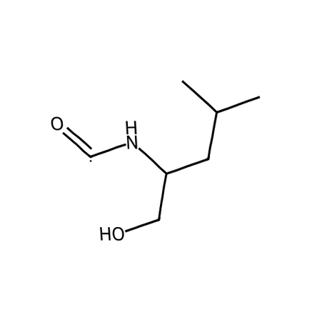 CC(C)CC(CO)N[C]=O